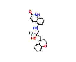 CC1(CC(O)(CNc2cccc3[nH]c(=O)ccc23)C(F)(F)F)CCOc2ccccc21